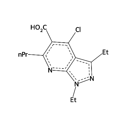 CCCc1nc2c(c(CC)nn2CC)c(Cl)c1C(=O)O